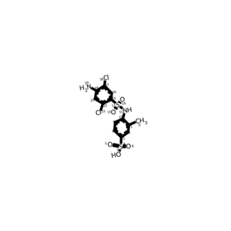 Cc1cc(S(=O)(=O)O)ccc1NS(=O)(=O)c1cc(Cl)c(N)cc1Cl